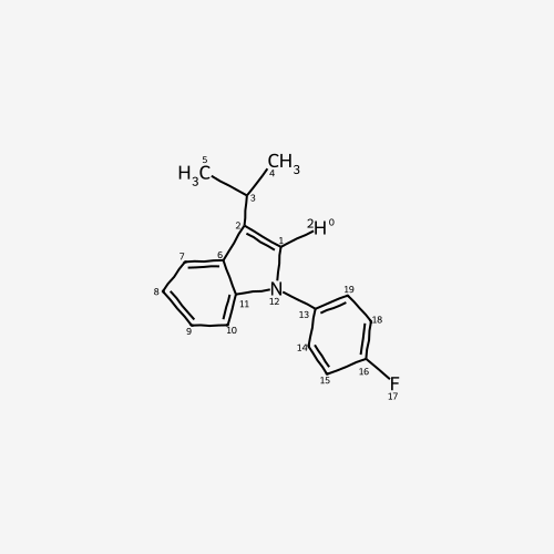 [2H]c1c(C(C)C)c2ccccc2n1-c1ccc(F)cc1